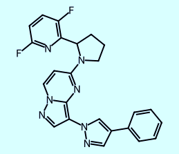 Fc1ccc(F)c(C2CCCN2c2ccn3ncc(-n4cc(-c5ccccc5)cn4)c3n2)n1